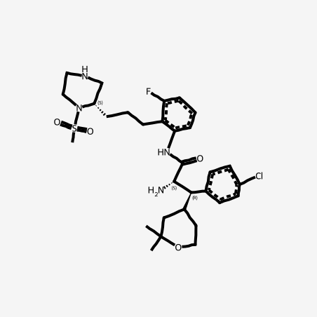 CC1(C)CC([C@H](c2ccc(Cl)cc2)[C@H](N)C(=O)Nc2cccc(F)c2CCC[C@H]2CNCCN2S(C)(=O)=O)CCO1